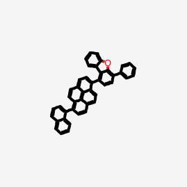 c1ccc(-c2ccc(-c3ccc4ccc5c(-c6cccc7ccccc67)ccc6ccc3c4c65)c3c2oc2ccccc23)cc1